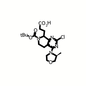 C[C@H]1COCCN1c1nc(Cl)nc2c1CCN(C(=O)OC(C)(C)C)C2CCC(=O)O